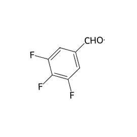 O=[C]c1cc(F)c(F)c(F)c1